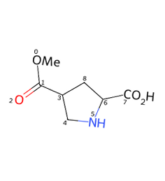 COC(=O)C1CNC(C(=O)O)C1